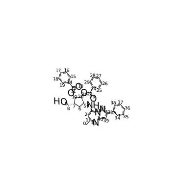 Cc1cc(N[C@@H]2C[C@H](CO)[C@@H](OC(=O)c3ccccc3)[C@H]2OC(=O)c2ccccc2)n2nc(-c3ccccc3)cc2n1